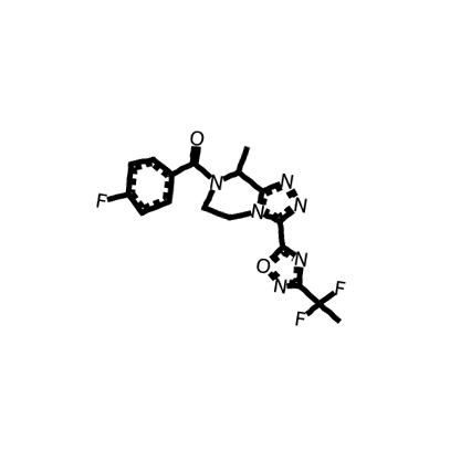 CC1c2nnc(-c3nc(C(C)(F)F)no3)n2CCN1C(=O)c1ccc(F)cc1